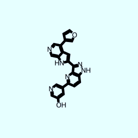 Oc1cncc(-c2ccc3[nH]nc(-c4cc5c(-c6ccoc6)cncc5[nH]4)c3n2)c1